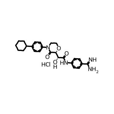 Cl.N=C(N)c1ccc(NC(=O)[C@H](O)[C@H]2OCCN(c3ccc(C4CCCCC4)cc3)C2=O)cc1